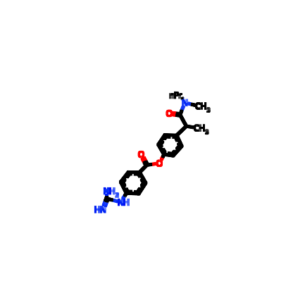 CCCN(C)C(=O)C(C)c1ccc(OC(=O)c2ccc(NC(=N)N)cc2)cc1